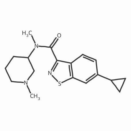 CN1CCCC(N(C)C(=O)c2nsc3cc(C4CC4)ccc23)C1